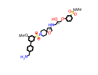 CNS(=O)(=O)c1cccc(OC[C@@H](O)CN[C@@H]2COC3(CCN(S(=O)(=O)c4cc(OC)cc(-c5ccc(CN)cc5)c4)CC3)C2)c1